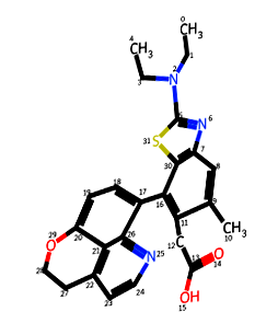 CCN(CC)c1nc2cc(C)c(CC(=O)O)c(-c3ccc4c5c(ccnc35)CCO4)c2s1